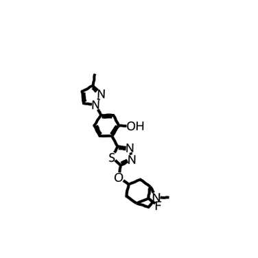 Cc1ccn(-c2ccc(-c3nnc(OC4CC5CN(C)C(C4)C5F)s3)c(O)c2)n1